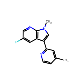 Cc1ccnc(-c2cn(C)c3ncc(F)cc23)c1